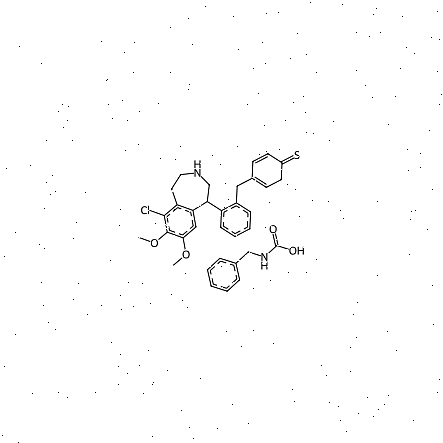 COc1cc2c(c(Cl)c1OC)CCNCC2c1ccccc1CC1=CCC(=S)C=C1.O=C(O)NCc1ccccc1